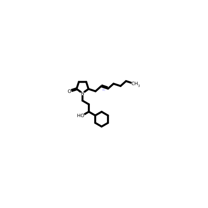 CCCC/C=C/CC1CCC(=O)N1CCC(O)C1CCCCC1